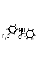 O=C(Nc1[c]ccc(C(F)(F)F)c1)C1CCCCC1